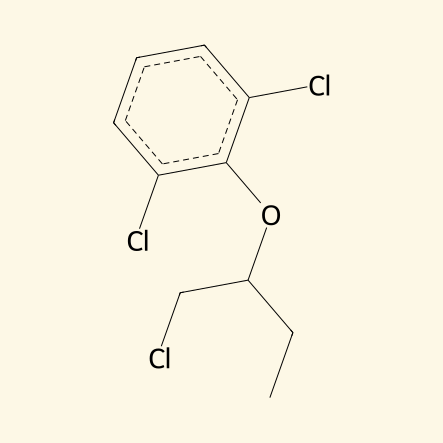 CCC(CCl)Oc1c(Cl)cccc1Cl